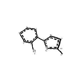 CCc1ccccc1-c1ccc(C)s1